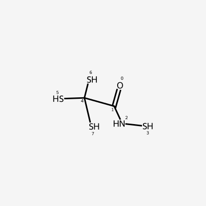 O=C(NS)C(S)(S)S